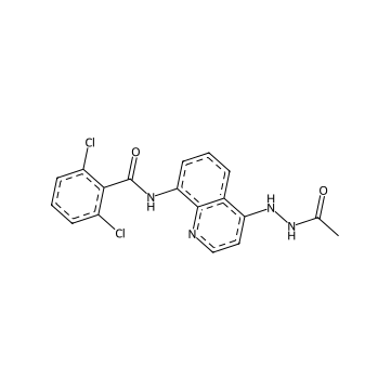 CC(=O)NNc1ccnc2c(NC(=O)c3c(Cl)cccc3Cl)cccc12